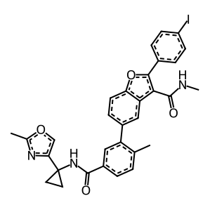 CNC(=O)c1c(-c2ccc(I)cc2)oc2ccc(-c3cc(C(=O)NC4(c5coc(C)n5)CC4)ccc3C)cc12